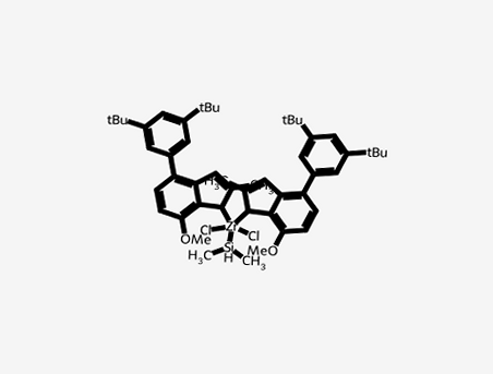 COc1ccc(-c2cc(C(C)(C)C)cc(C(C)(C)C)c2)c2c1[CH]([Zr]([Cl])([Cl])([CH]1C(C)=Cc3c(-c4cc(C(C)(C)C)cc(C(C)(C)C)c4)ccc(OC)c31)[SiH](C)C)C(C)=C2